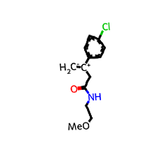 [CH2-][C+](CC(=O)NCCOC)c1ccc(Cl)cc1